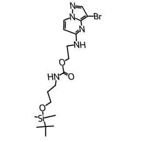 CC(C)(C)[Si](C)(C)OCCCNC(=O)OCCNc1ccn2ncc(Br)c2n1